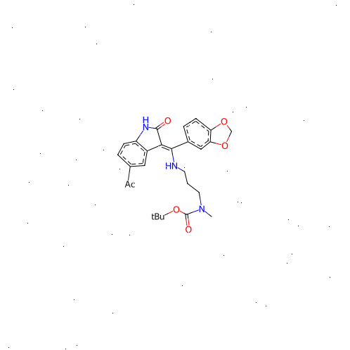 CC(=O)c1ccc2c(c1)C(=C(NCCCN(C)C(=O)OC(C)(C)C)c1ccc3c(c1)OCO3)C(=O)N2